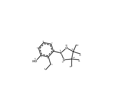 CCc1c(O)cccc1B1OC(C)(C)C(C)(C)O1